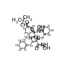 CC(C)(C)Oc1ccc([N+]2(C(=O)C(=O)NO)Cc3ccccc3CC2C(OCc2ccccc2)C(=O)NO)cc1